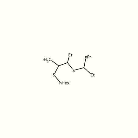 [CH2]C(SCCCCCC)C(CC)SC(CC)CCC